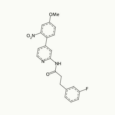 COc1ccc(-c2ccnc(NC(=O)CCc3cccc(F)c3)c2)c([N+](=O)[O-])c1